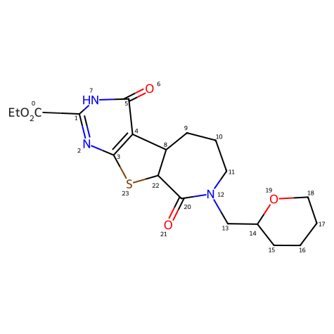 CCOC(=O)c1nc2c(c(=O)[nH]1)C1CCCN(CC3CCCCO3)C(=O)C1S2